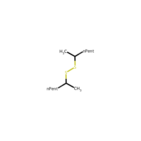 CCCCCC(C)SSC(C)CCCCC